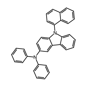 c1ccc(N(c2ccccc2)c2ccc3c(c2)c2ccccc2n3-c2cccc3ccccc23)cc1